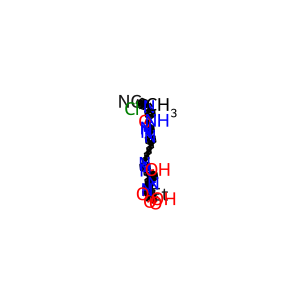 CC[C@@]1(O)C(=O)OCc2c1cc1n(c2=O)Cc2cc3c(CN4CCN(CCCCCCC5CCN(c6ccc(C(=O)N[C@H]7CC[C@H](N(C)c8ccc(C#N)c(Cl)c8)CC7)nn6)CC5)CC4)c(O)ccc3nc2-1